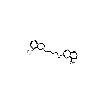 OC1=c2nc(OCCCCN3CCc4cccc(C(F)(F)F)c4C3)ccc2=CCC1